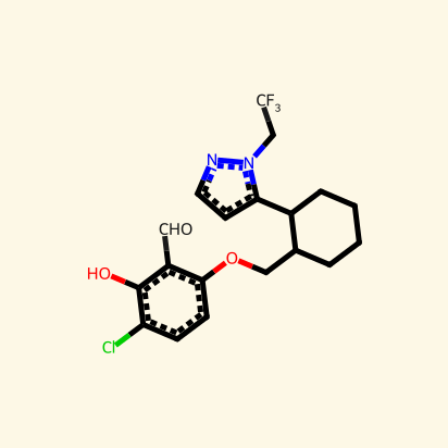 O=Cc1c(OCC2CCCCC2c2ccnn2CC(F)(F)F)ccc(Cl)c1O